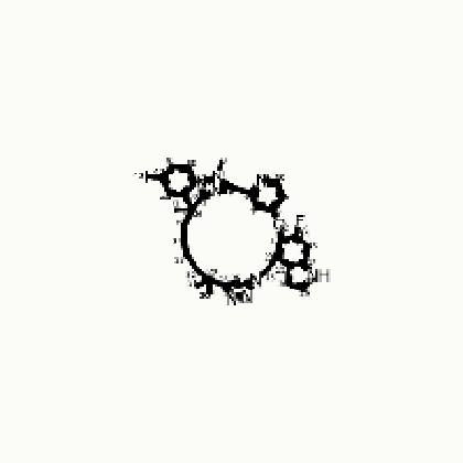 Cn1nc2nc1-c1cc(ccn1)Oc1c(F)cc3[nH]ccc3c1Cn1cc(nn1)C(C)(C)CCCC[C@]2(C)c1cccc(I)c1